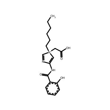 CCCCCC[N+]1(CC(=O)O)C=NC(NC(=O)c2ccccc2O)=C1